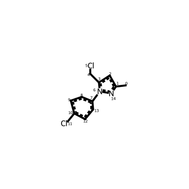 Cc1cc(CCl)n(-c2ccc(Cl)cc2)n1